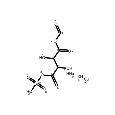 O=COC(=O)C(O)C(O)C(=O)OS(=O)(=O)O.[Cu].[KH].[NaH]